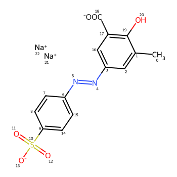 Cc1cc(/N=N/c2ccc(S(=O)(=O)[O-])cc2)cc(C(=O)[O-])c1O.[Na+].[Na+]